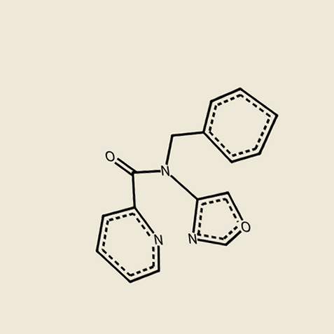 O=C(c1ccccn1)N(Cc1ccccc1)c1cocn1